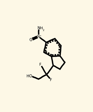 N[N+](=O)c1ccc2c(c1)[C](C(F)(F)CO)CC2